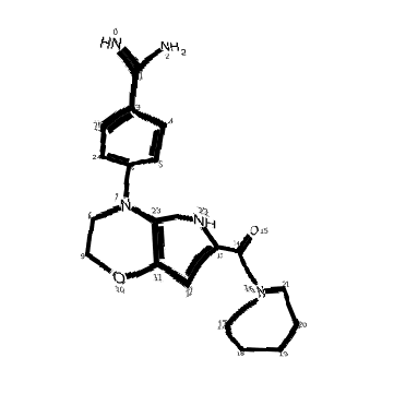 N=C(N)c1ccc(N2CCOc3cc(C(=O)N4CCCCC4)[nH]c32)cc1